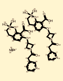 O=C(O)c1c(OC2CN(C(=O)Cc3cccnc3)C2)ccc2c1O[B-](O)(O)CC2.O=C(O)c1c(OC2CN(C(=O)Cc3cccnc3)C2)ccc2c1O[B-](O)(O)CC2.[Na+].[Na+]